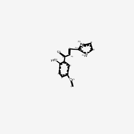 COc1ccc(O)c(C(=O)C=Cc2ncc[nH]2)c1